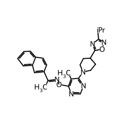 CC(=NOc1ncnc(N2CCC(c3nc(C(C)C)no3)CC2)c1C)c1ccc2ccccc2c1